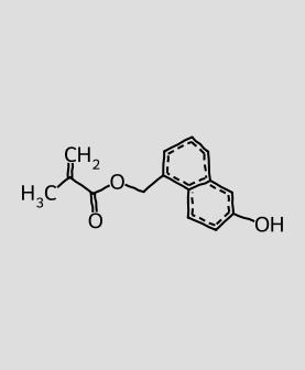 C=C(C)C(=O)OCc1cccc2cc(O)ccc12